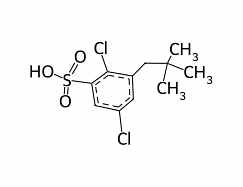 CC(C)(C)Cc1cc(Cl)cc(S(=O)(=O)O)c1Cl